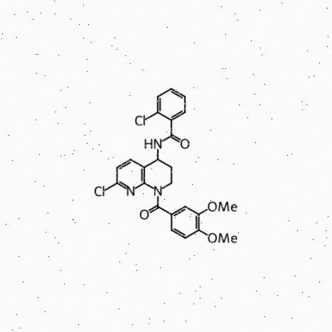 COc1ccc(C(=O)N2CCC(NC(=O)c3ccccc3Cl)c3ccc(Cl)nc32)cc1OC